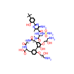 Cc1nc(-c2ccc(C(C)(C)C)cc2O)nc(N)c1C(=O)N[C@@H](CNS(N)(=O)=O)C(=O)N(C)[C@@H]1C(=O)N[C@@H](C)C(=O)N[C@H](C(=O)O)Cc2ccc(OC[C@H](O)CN)c(c2)-c2cc1cc(OC[C@H](O)CN)c2O